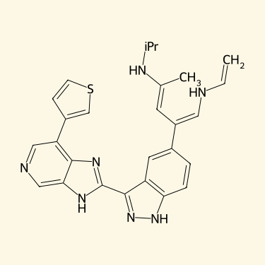 C=CN/C=C(\C=C(/C)NC(C)C)c1ccc2[nH]nc(-c3nc4c(-c5ccsc5)cncc4[nH]3)c2c1